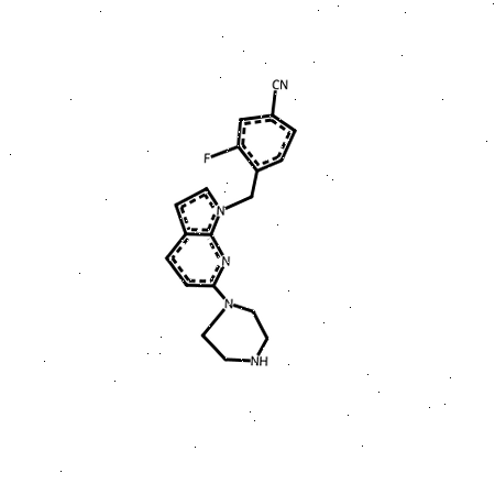 N#Cc1ccc(Cn2ccc3ccc(N4CCNCC4)nc32)c(F)c1